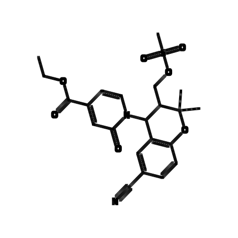 CCOC(=O)c1ccn(C2c3cc(C#N)ccc3OC(C)(C)C2COS(C)(=O)=O)c(=O)c1